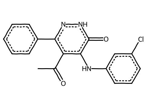 CC(=O)c1c(-c2ccccc2)n[nH]c(=O)c1Nc1cccc(Cl)c1